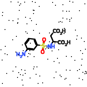 Nc1cccc(S(=O)(=O)NC(CC(=O)O)C(=O)O)c1